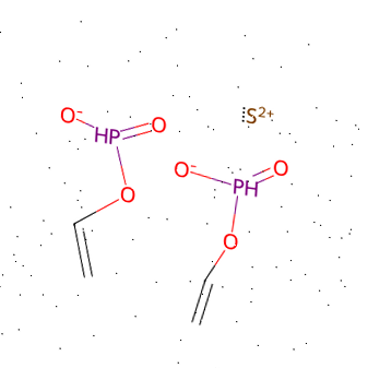 C=CO[PH](=O)[O-].C=CO[PH](=O)[O-].[S+2]